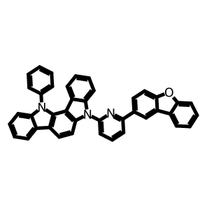 c1ccc(-n2c3ccccc3c3ccc4c(c5ccccc5n4-c4cccc(-c5ccc6oc7ccccc7c6c5)n4)c32)cc1